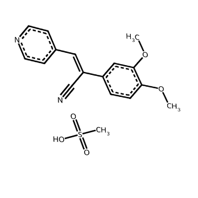 COc1ccc(C(C#N)=Cc2ccncc2)cc1OC.CS(=O)(=O)O